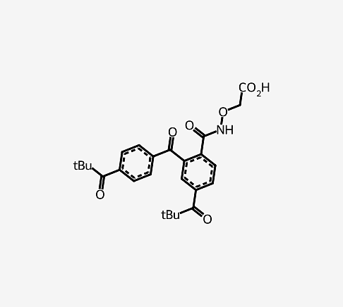 CC(C)(C)C(=O)c1ccc(C(=O)c2cc(C(=O)C(C)(C)C)ccc2C(=O)NOCC(=O)O)cc1